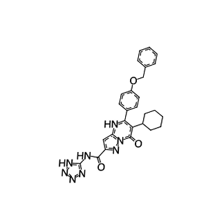 O=C(Nc1nnn[nH]1)c1cc2[nH]c(-c3ccc(OCc4ccccc4)cc3)c(C3CCCCC3)c(=O)n2n1